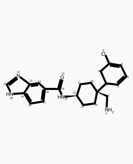 NC[C@]1(C2C=CC=C(Cl)C2)CC[C@H](NC(=O)c2ccc3[nH]cnc3c2)CC1